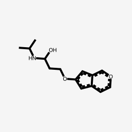 CC(C)NC(O)CCOc1cc2ccocc-2c1